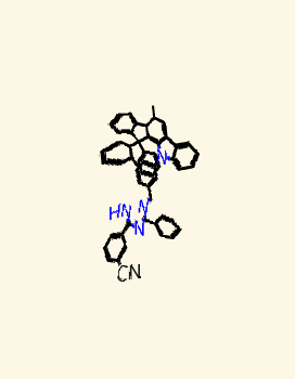 CC1C=c2c(n(-c3cccc(/C=N/C(=N\C(=N)c4cccc(C#N)c4)c4ccccc4)c3)c3ccccc23)=C2C1c1ccccc1C2(c1ccccc1)C1C=CC=CC1C